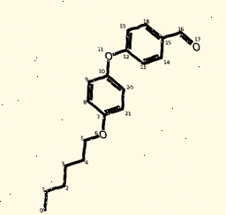 CCCCCCOc1ccc(Oc2ccc(C=O)cc2)cc1